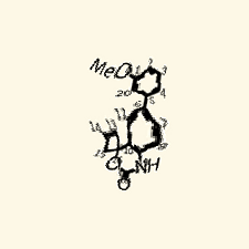 COc1cccc(-c2ccc3c(c2)C2(CCC2)OC(=O)N3)c1